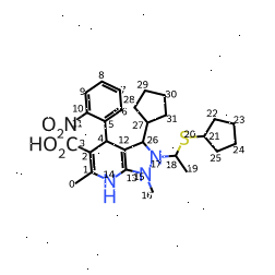 CC1=C(C(=O)O)C(c2ccccc2[N+](=O)[O-])C2=C(N1)N(C)N(C(C)SC1CCCC1)C2C1CCCC1